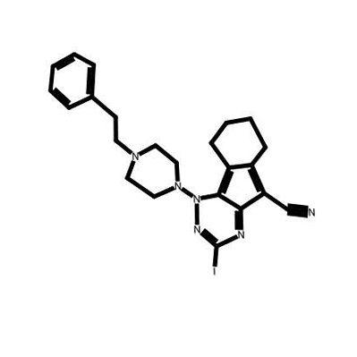 N#Cc1c2nc(I)nn(N3CCN(CCc4ccccc4)CC3)c-2c2c1CCCC2